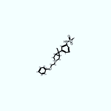 CC1(c2cccc(NS(C)(=O)=O)c2)C2CN(CCOc3ccccc3)CC21